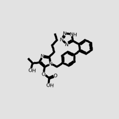 CCCCc1nc(C(C)O)c(OC(=O)O)n1Cc1ccc(-c2ccccc2-c2nnn[nH]2)cc1